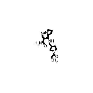 C=CC(=O)N1CCC(CNc2c(C(N)=O)cnn3cccc23)C1